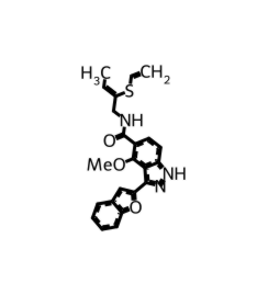 C=CS/C(=C\C)CNC(=O)c1ccc2[nH]nc(-c3cc4ccccc4o3)c2c1OC